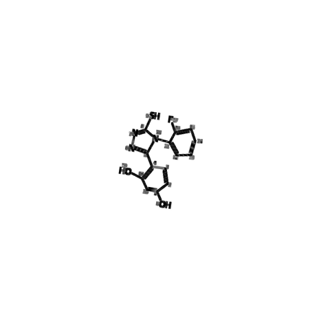 Oc1ccc(-c2nnc(S)n2-c2ccccc2F)c(O)c1